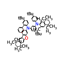 Cc1cc2c(cc1N(c1ccc(C(C)(C)C)cc1)c1cc(N(c3ccc4c(c3)oc3cc5c(cc34)C(C)(C)CCC5(C)C)c3ccc(C(C)(C)C)cc3-c3ccccc3)cc(C(C)(C)C)c1)C(C)(C)CCC2(C)C